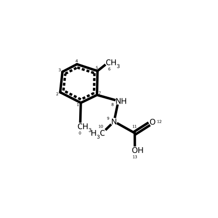 Cc1cccc(C)c1NN(C)C(=O)O